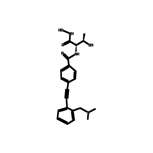 C[C@@H](O)[C@H](NC(=O)c1ccc(C#Cc2ccccc2CN(C)C)cc1)C(=O)NO